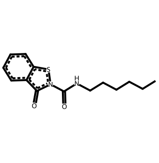 CCCCCCNC(=O)n1sc2ccccc2c1=O